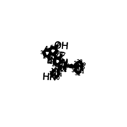 CCc1cccc2cc(O)cc(-c3ncc4c(N5CCNCC5)nc(C#CC56CCCN5CCC6)nc4c3F)c12